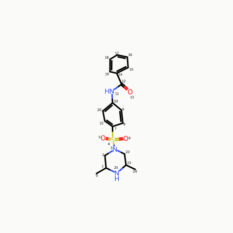 CC1CN(S(=O)(=O)c2ccc(NC(=O)c3ccccc3)cc2)CC(C)N1